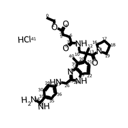 CCOC(=O)CCC(=O)NCC(C)(C(=O)N1CCCC1)c1ccc2[nH]c(CNc3ccc(C(=N)N)cc3)nc2c1C.Cl